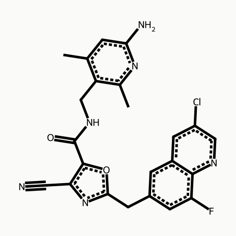 Cc1cc(N)nc(C)c1CNC(=O)c1oc(Cc2cc(F)c3ncc(Cl)cc3c2)nc1C#N